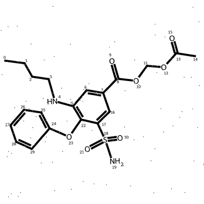 CCCCNc1cc(C(=O)OCOC(C)=O)cc(S(N)(=O)=O)c1Oc1ccccc1